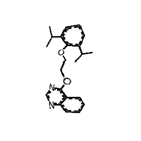 CC(C)c1cccc(C(C)C)c1OCCOc1ncnc2ccccc12